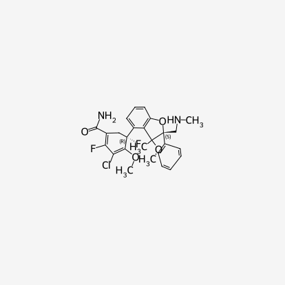 CNC[C@]1(c2ccccc2)Oc2cccc([C@]3(F)CC(C(N)=O)=C(F)C(Cl)=C3OC)c2C1(C)OC